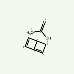 C1=CC2CC=C12.CC(=O)O